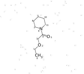 CCOCC(=O)N1CCCCC1